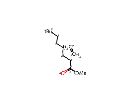 C=C.COC(=O)CCCCCC(C)(C)C